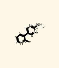 Cc1ncccc1-c1cnc(N)nc1